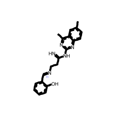 Cc1ccc2nc(NC(=N)CC/N=C/c3ccccc3O)nc(C)c2c1